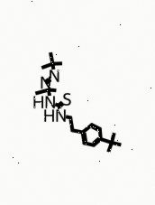 CC(C)(C)N=NC(C)(C)NC(=S)NCCc1ccc(C(C)(C)C)cc1